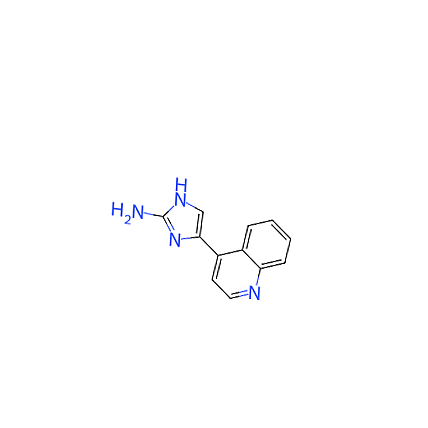 Nc1nc(-c2ccnc3ccccc23)c[nH]1